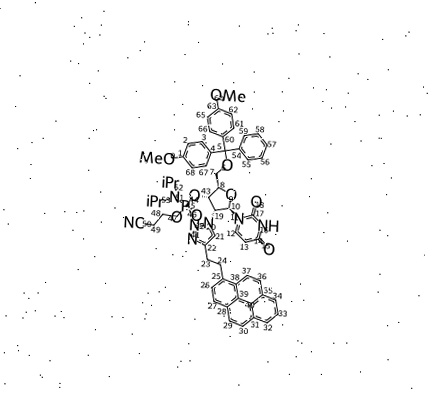 COc1ccc(C(OC[C@H]2O[C@@H](n3ccc(=O)[nH]c3=O)[C@H](n3cc(CCc4ccc5ccc6cccc7ccc4c5c67)nn3)[C@@H]2OP(=O)(OCCC#N)N(C(C)C)C(C)C)(c2ccccc2)c2ccc(OC)cc2)cc1